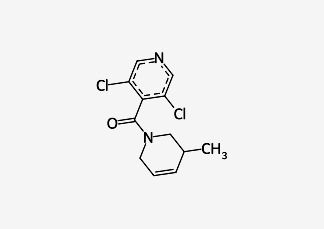 CC1C=CCN(C(=O)c2c(Cl)cncc2Cl)C1